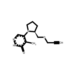 C#CCOC[C@@H]1CCCN1c1cn[nH]c(=O)c1C